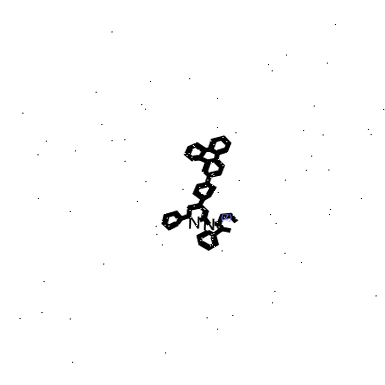 C/C=C\c1c(C)c2ccccc2n1-c1cc(-c2ccc(-c3ccc4c5ccccc5c5ccccc5c4c3)cc2)cc(-c2ccccc2)n1